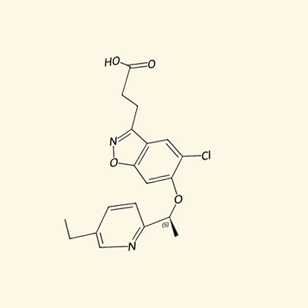 CCc1ccc([C@H](C)Oc2cc3onc(CCC(=O)O)c3cc2Cl)nc1